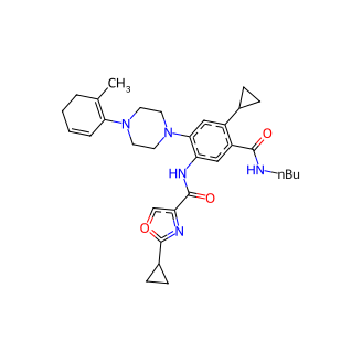 CCCCNC(=O)c1cc(NC(=O)c2coc(C3CC3)n2)c(N2CCN(C3=C(C)CCC=C3)CC2)cc1C1CC1